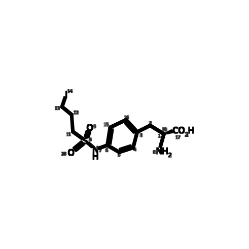 N[C@@H](Cc1ccc(NS(=O)(=O)CCCI)cc1)C(=O)O